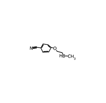 CBCCOc1ccc(C#N)cc1